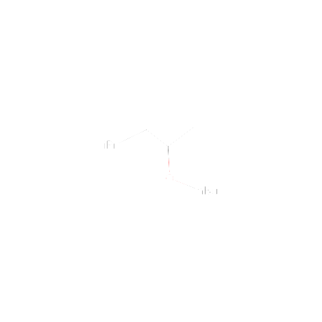 [CH2]C(CC(C)C)OCCCC